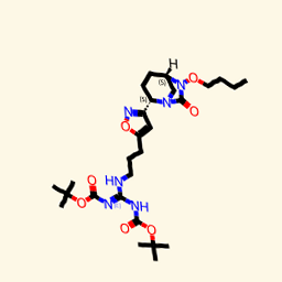 CCCCON1C(=O)N2C[C@@H]1CC[C@H]2c1cc(CCCN/C(=N\C(=O)OC(C)(C)C)NC(=O)OC(C)(C)C)on1